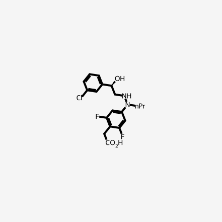 CCCN(NC[C@H](O)c1cccc(Cl)c1)c1cc(F)c(CC(=O)O)c(F)c1